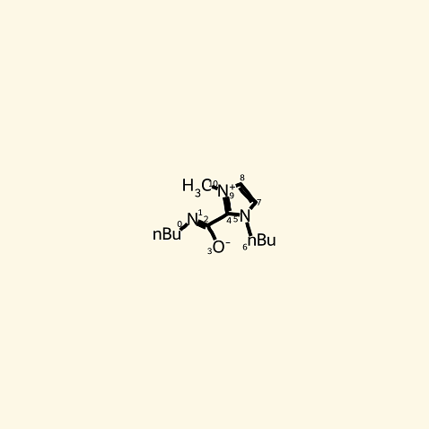 CCCC/N=C(\[O-])c1n(CCCC)cc[n+]1C